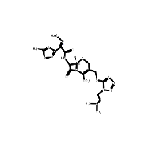 CO/N=C(/C(=O)NC1C(=O)N2C(C(=O)O)=C(CSc3nnnn3CCN(C)C)CS[C@H]12)c1nsc(N)n1